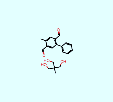 CC(CO)(CO)CO.Cc1cc(C=O)c(-c2ccccc2)cc1C=O